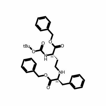 CC(C)(C)OC(=O)N[C@@H](CCN[C@@H](Cc1ccccc1)C(=O)OCc1ccccc1)C(=O)OCc1ccccc1